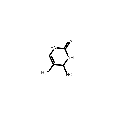 CC1=CNC(=S)NC1N=O